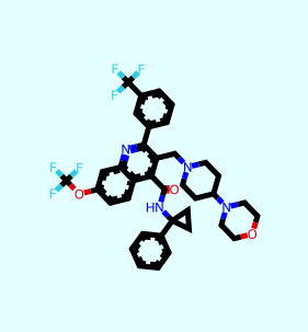 O=C(NC1(c2ccccc2)CC1)c1c(CN2CCC(N3CCOCC3)CC2)c(-c2cccc(C(F)(F)F)c2)nc2cc(OC(F)(F)F)ccc12